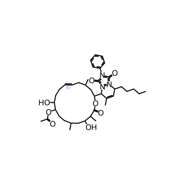 CCCCCC1C=C(C)C(C2CC(C)C/C=C/CCC(O)C(OC(C)=O)CCC(C)CC(O)C(C)C(=O)O2)n2c(=O)n(-c3ccccc3)c(=O)n21